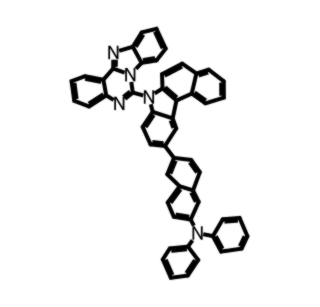 c1ccc(N(c2ccccc2)c2ccc3cc(-c4ccc5c(c4)c4c6ccccc6ccc4n5-c4nc5ccccc5c5nc6ccccc6n45)ccc3c2)cc1